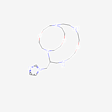 c1cn(CC2CNCCOCCNCCN3CCOCCN2CCOCC3)cn1